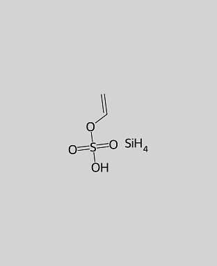 C=COS(=O)(=O)O.[SiH4]